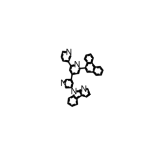 c1cncc(-c2cc(-c3cncc(-n4c5ccccc5c5cccnc54)c3)cc(-c3cc4ccccc4c4ccccc34)n2)c1